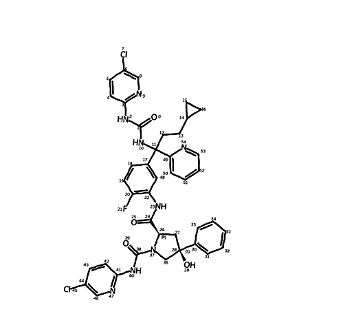 O=C(Nc1ccc(Cl)cn1)NC(CCC1CC1)(c1ccc(F)c(NC(=O)[C@H]2C[C@](O)(c3ccccc3)CN2C(=O)Nc2ccc(Cl)cn2)c1)c1ccccn1